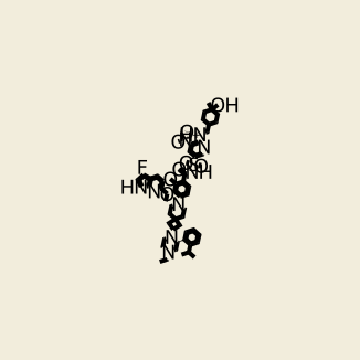 CCN1CCN(C2CC3(CCN(c4ccc(C(=O)NS(=O)(=O)c5cnc(NCC6CCC(C)(O)CC6)c([N+](=O)[O-])c5)c(Oc5cc6c(F)c[nH]c6nc5OC)c4)CC3)C2)[C@H](c2ccccc2C(C)C)C1